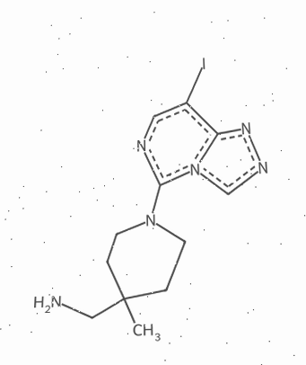 CC1(CN)CCN(c2ncc(I)c3nncn23)CC1